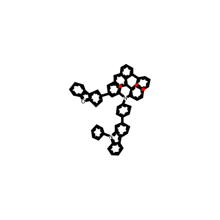 c1ccc(-c2cccc3cccc(-c4ccccc4N(c4ccc(-c5ccc6c7ccccc7n(-c7ccccc7)c6c5)cc4)c4cccc(-c5ccc6oc7ccccc7c6c5)c4)c23)cc1